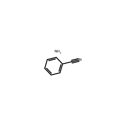 N.N#Cc1cc[c]cc1